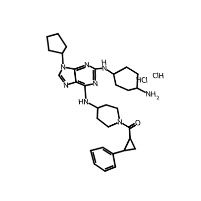 Cl.Cl.NC1CCC(Nc2nc(NC3CCN(C(=O)C4CC4c4ccccc4)CC3)c3ncn(C4CCCC4)c3n2)CC1